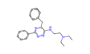 CCN(CC)CCNc1nnc(-c2ccccc2)nc1Cc1ccccc1